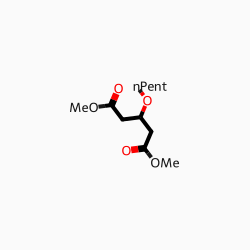 CCCCCOC(CC(=O)OC)CC(=O)OC